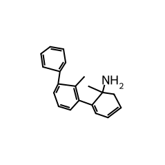 Cc1c(C2=CC=CCC2(C)N)cccc1-c1ccccc1